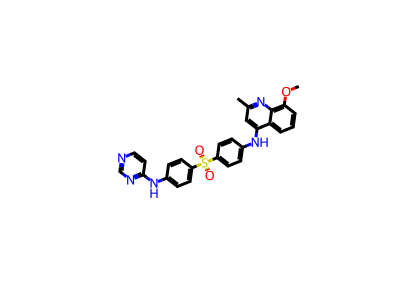 COc1cccc2c(Nc3ccc(S(=O)(=O)c4ccc(Nc5ccncn5)cc4)cc3)cc(C)nc12